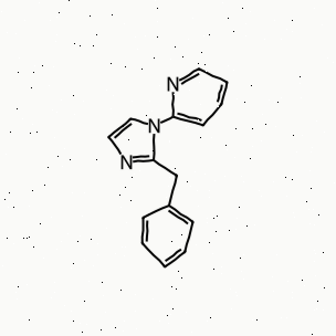 c1ccc(Cc2nccn2-c2ccccn2)cc1